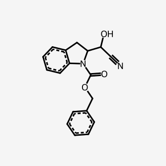 N#CC(O)C1Cc2ccccc2N1C(=O)OCc1ccccc1